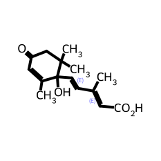 CC1=CC(=O)CC(C)(C)C1(O)/C=C/C(C)=C/C(=O)O